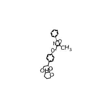 Cc1oc(-c2ccccc2)nc1COc1ccc(C(CO)OC2CCCCO2)cc1